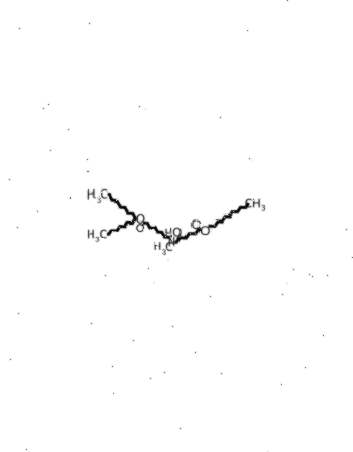 CCCCCCCCCCCOC(=O)CCCC(O)CN(C)CCCCCCCC(=O)OC(CCCCCCCC)CCCCCCCC